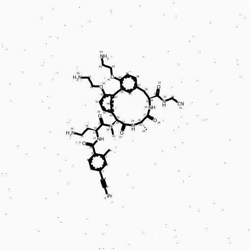 Cc1cc(C#CC(C)C)ccc1C(=O)N[C@@H](CCN)C(=O)N(C)[C@@H]1C(=O)N[C@@H](C)C(=O)N[C@H](C(=O)NCC#N)Cc2ccc(OCCN)c(c2)-c2cc1ccc2OCCN